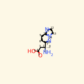 C[C@](N)(CC(=O)O)c1ccc2nccn2n1